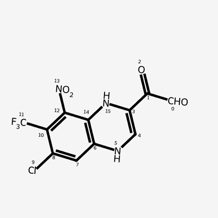 O=CC(=O)C1=CNc2cc(Cl)c(C(F)(F)F)c([N+](=O)[O-])c2N1